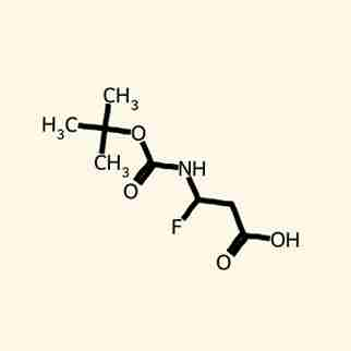 CC(C)(C)OC(=O)NC(F)CC(=O)O